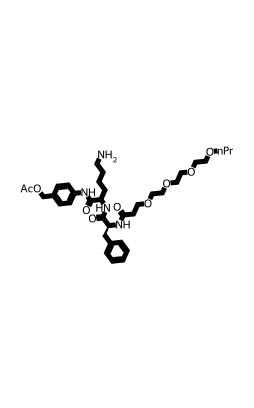 CCCOCCOCCOCCOCCC(=O)N[C@@H](Cc1ccccc1)C(=O)NC(CCCCN)C(=O)Nc1ccc(COC(C)=O)cc1